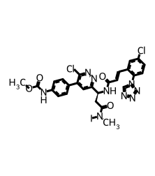 COC(=O)Nc1ccc(-c2cc([C@H](CC(=O)N(C)I)NC(=O)/C=C/c3cc(Cl)ccc3-n3cnnn3)nnc2Cl)cc1